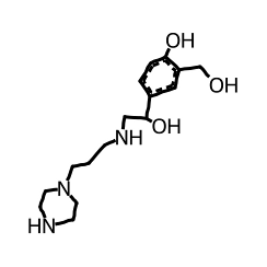 OCc1cc(C(O)CNCCCN2CCNCC2)ccc1O